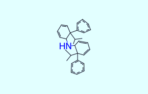 CC(C)C1(c2ccccc2)C=CC=CC1NC1C=CC=CC1(c1ccccc1)C(C)C